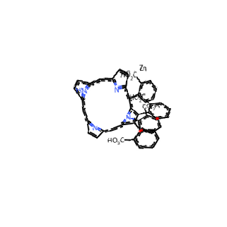 O=C(O)c1ccccc1-c1c(-c2ccccc2C(=O)O)c2c(-c3ccccc3C(=O)O)c3nc(cc4ccc(cc5nc(cc1n2-c1ccccc1C(=O)O)C=C5)[nH]4)C=C3.[Zn]